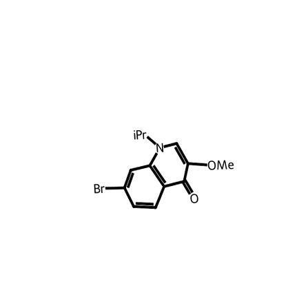 COc1cn(C(C)C)c2cc(Br)ccc2c1=O